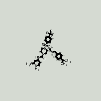 C=C/C=C(\C=C/N)NC(=O)N1CCN(S(=O)(=O)c2ccc(C(F)(F)F)cc2)[C@@H](C(=O)NCc2ccc(C(C)C)cc2)C1